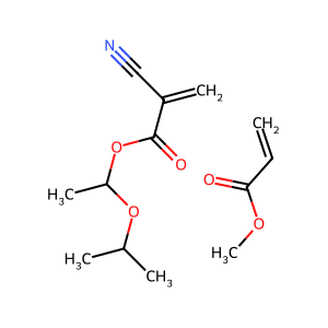 C=C(C#N)C(=O)OC(C)OC(C)C.C=CC(=O)OC